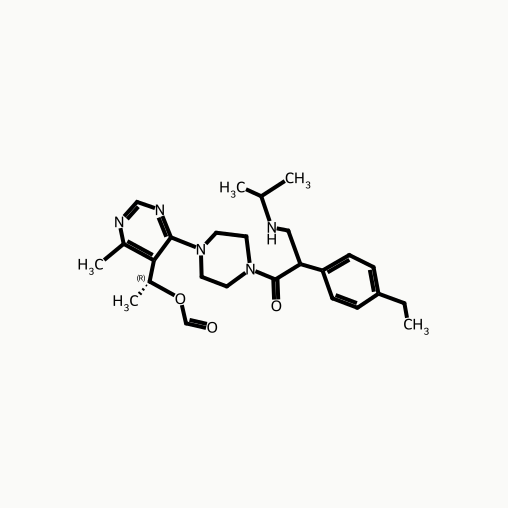 CCc1ccc(C(CNC(C)C)C(=O)N2CCN(c3ncnc(C)c3[C@@H](C)OC=O)CC2)cc1